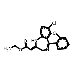 NCOC(=O)C=C1CN=C(c2ccccc2Cl)c2cc(Cl)ccc2N1